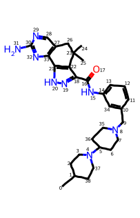 CC1CCN(C2CCN(Cc3cccc(NC(=O)c4n[nH]c5c4C(C)(C)Cc4cnc(N)nc4-5)c3)CC2)CC1